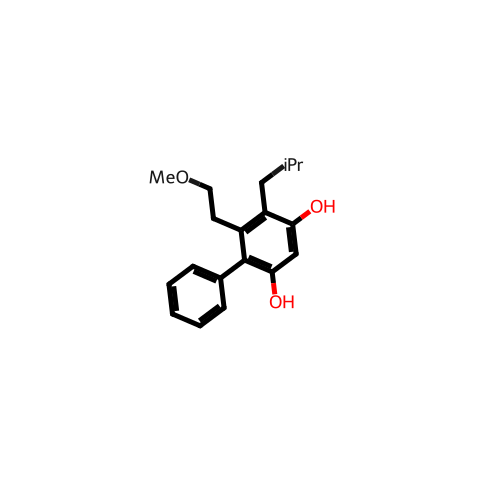 COCCc1c(CC(C)C)c(O)cc(O)c1-c1ccccc1